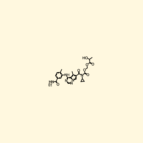 CCNC(=O)c1ccc(C)c(Nc2ncnn3cc(C(=O)N(C(=O)OCOC(=O)C(C)O)C4CC4)c(C)c23)c1